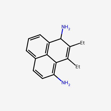 CCC1=C(CC)C(N)c2cccc3ccc(N)c1c23